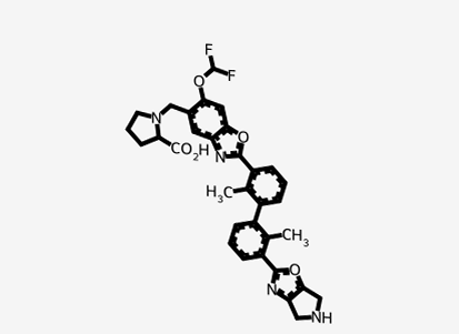 Cc1c(-c2nc3c(o2)CNC3)cccc1-c1cccc(-c2nc3cc(CN4CCCC4C(=O)O)c(OC(F)F)cc3o2)c1C